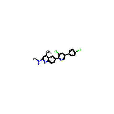 Cc1cc(NC(C)C)nc2ccc(-c3ncc(-c4ccc(Cl)cc4)cc3Cl)cc12